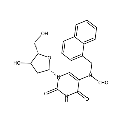 O=CN(Cc1cccc2ccccc12)c1cn([C@@H]2CC(O)[C@H](CO)O2)c(=O)[nH]c1=O